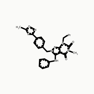 Cc1nc(-c2ccc(Cn3nc4c(c3Nc3ccccc3)c(=O)n(C)c(=O)n4CC(C)C)cc2)no1